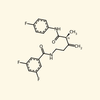 C=C(CCNC(=O)c1cc(F)cc(F)c1)[C@H](C)C(=O)Nc1ccc(F)cc1